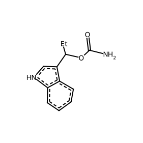 CCC(OC(N)=O)c1c[nH]c2ccccc12